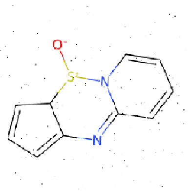 [O-][S+]1C2C=CC=C2N=C2C=CC=CN21